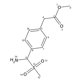 COC(=O)Cc1ccc(C(N)S(C)(=O)=O)cc1